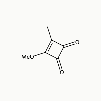 COc1c(C)c(=O)c1=O